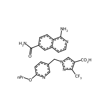 CCCOc1ccc(Cn2cc(C(=O)O)c(C(F)(F)F)n2)cn1.NC(=O)c1ccc2c(N)nccc2c1